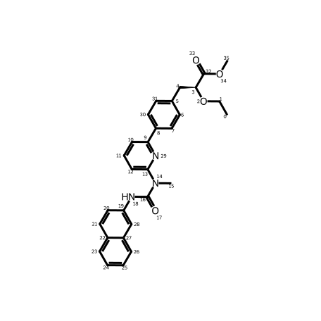 CCO[C@@H](Cc1ccc(-c2cccc(N(C)C(=O)Nc3ccc4ccccc4c3)n2)cc1)C(=O)OC